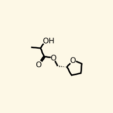 CC(O)C(=O)OC[C@H]1CCCO1